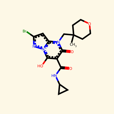 CC1(Cn2c(=O)c(C(=O)NC3CC3)c(O)n3nc(Br)cc23)CCOCC1